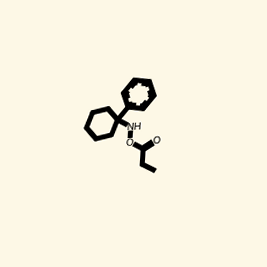 CCC(=O)ONC1(c2ccccc2)CCCCC1